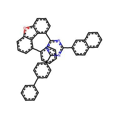 c1ccc(-c2ccc(-c3nc(-c4ccc5ccccc5c4)nc(-c4cccc5oc6cccc(-c7ccccc7)c6c45)n3)cc2)cc1